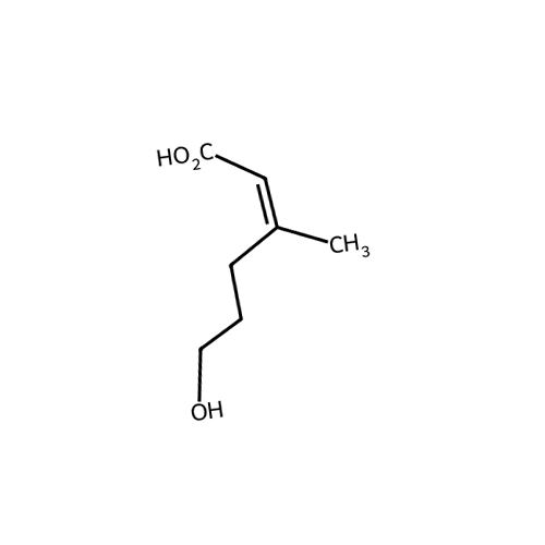 CC(=CC(=O)O)CCCO